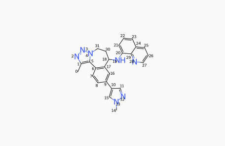 Cc1nnn2c1-c1ccc(-c3cnn(C)c3)cc1C(Nc1cccc3cccnc13)CC2